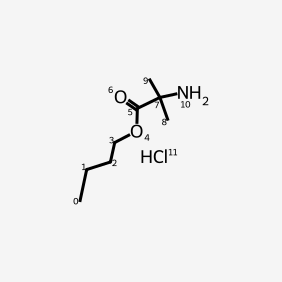 CCCCOC(=O)C(C)(C)N.Cl